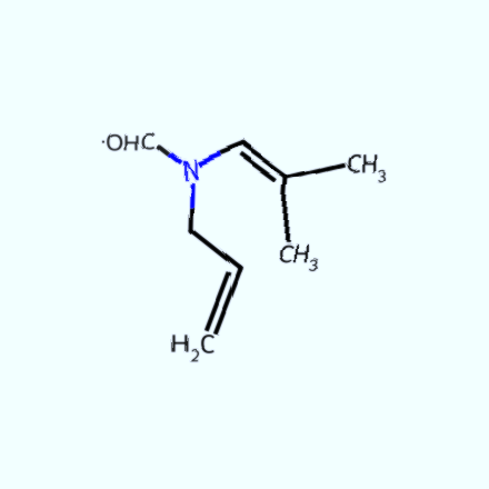 C=CCN([C]=O)C=C(C)C